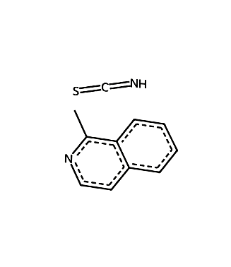 Cc1nccc2ccccc12.N=C=S